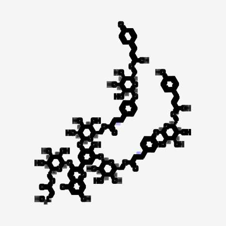 O=C1C=CC(=CC=C(O)OC[C@H]2O[C@@H](Oc3ccc(/C=C/C(=O)OC[C@H]4O[C@@H](Oc5cc(-c6oc7cc(O)cc(=O)c-7cc6O[C@@H]6O[C@H](COC(=O)CC(=O)O)[C@@H](O)[C@H](O)[C@H]6O)cc(O[C@@H]6O[C@H](COC(=O)/C=C/c7ccc(O[C@@H]8O[C@H](C[O+]=C(O)C=Cc9ccc(O)cc9)[C@@H](O)[C@H](O)[C@H]8O)cc7)[C@@H](O)[C@H](O)[C@H]6O)c5O)[C@H](O)[C@@H](O)[C@@H]4O)cc3)[C@H](O)[C@@H](O)[C@@H]2O)C=C1